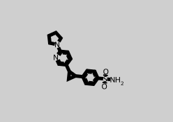 NS(=O)(=O)c1ccc(C2CC2c2ccc(N3CCCC3)nc2)cc1